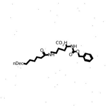 CCCCCCCCCCCCCCCC(=O)NCCCCC(NC(=O)OCc1ccccc1)C(=O)O